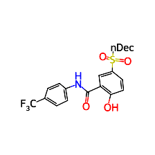 CCCCCCCCCCS(=O)(=O)c1ccc(O)c(C(=O)Nc2ccc(C(F)(F)F)cc2)c1